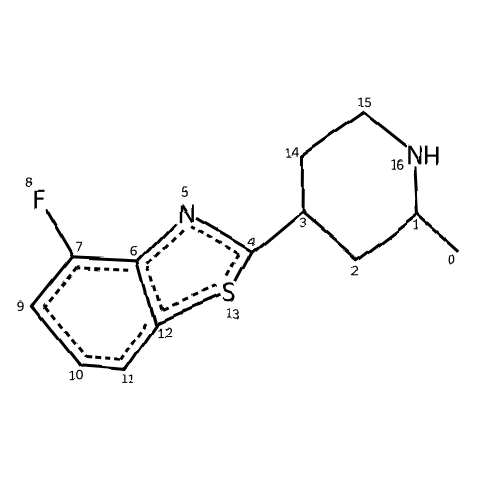 CC1CC(c2nc3c(F)cccc3s2)CCN1